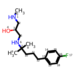 CNC[C@H](O)CNC(C)(C)CCCc1ccc(F)cc1